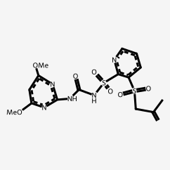 C=C(C)CS(=O)(=O)c1cccnc1S(=O)(=O)NC(=O)Nc1nc(OC)cc(OC)n1